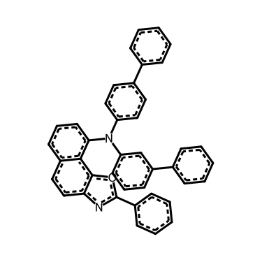 c1ccc(-c2ccc(N(c3cccc(-c4ccccc4)c3)c3cccc4ccc5nc(-c6ccccc6)oc5c34)cc2)cc1